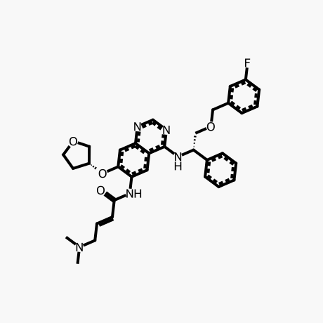 CN(C)C/C=C/C(=O)Nc1cc2c(N[C@H](COCc3cccc(F)c3)c3ccccc3)ncnc2cc1O[C@@H]1CCOC1